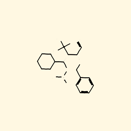 C=C[C@H](OCc1ccccc1)[C@H](C(O[SiH](C)C)C1CCCCC1)C(C)(C)C